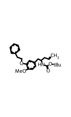 C=CCC(Cc1ccc(OC)c(OCCc2ccccc2)c1)NC(=O)OC(C)(C)C